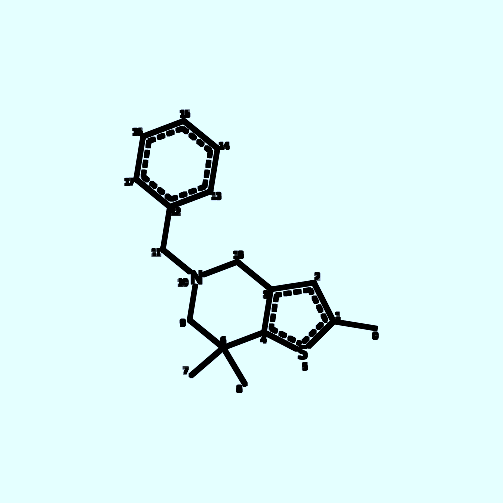 Cc1cc2c(s1)C(C)(C)CN(Cc1ccccc1)C2